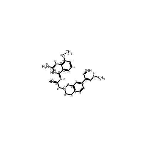 CN/C=C(\C=N)c1ccc2c(c1)CN(CC(=N)/N=c1\[nH]c(N)nc3c(OC)cccc13)CC2